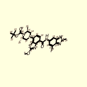 COc1nc2c(C(=O)Nc3cc(F)c4nn(C)nc4c3)ccc(N3C[C@H](C)N(C(=O)OC(C)(C)C)[C@@H](C)C3)c2s1